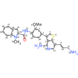 COc1cc(-c2csc3c(/C=C/CN)cnc(N)c23)ccc1NC(=O)c1cc2ccccc2n1C